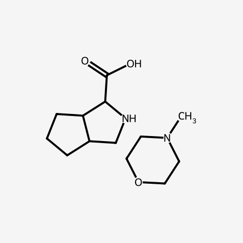 CN1CCOCC1.O=C(O)C1NCC2CCCC21